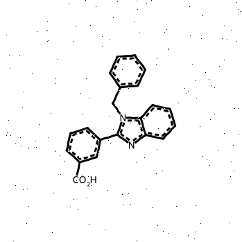 O=C(O)c1cccc(-c2nc3ccccc3n2Cc2ccccc2)c1